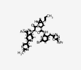 C/C=C/[C@@]12C[C@@H](C(=O)Nc3nc(Br)ccc3Cc3nnc(CCC)o3)N(C(=O)Cn3nc(C(C)=O)c4cc(-c5cnc(C)nc5)ncc43)[C@@H]1C2